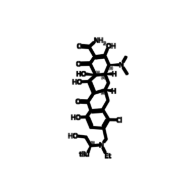 CCN(Cc1cc(O)c2c(c1Cl)C[C@H]1C[C@H]3[C@H](N(C)C)C(O)=C(C(N)=O)C(=O)[C@@]3(O)C(O)=C1C2=O)[C@H](CO)C(C)(C)C